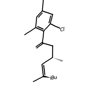 C=C(C[C@H](C)/C=C(/C)[C@H](C)CC)c1c(C)cc(C)cc1Cl